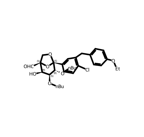 CCCCO[C@@H]1[C@@H](OCCCC)[C@@]2(c3ccc(Cl)c(Cc4ccc(OCC)cc4)c3)OC[C@](C=O)(O2)[C@@H]1O